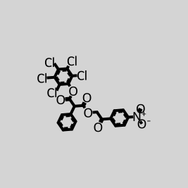 O=C(COC(=O)C(C(=O)Oc1c(Cl)c(Cl)c(Cl)c(Cl)c1Cl)c1ccccc1)c1ccc([N+](=O)[O-])cc1